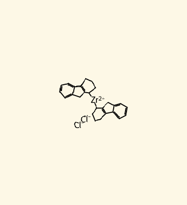 [Cl-].[Cl-].c1ccc2c(c1)CC1=C2CCC[CH]1[Zr+2][CH]1CCCC2=C1Cc1ccccc12